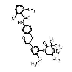 COc1ccc(C(C=O)Cc2ccc(NC(=O)c3c(C)cccc3Cl)cc2)cc1N(CC(C)C)C(=O)C(C)(C)C